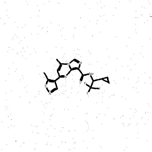 Cc1sncc1-c1cc(C)n2cnc(C(=O)NC(C3CC3)C(F)(F)F)c2n1